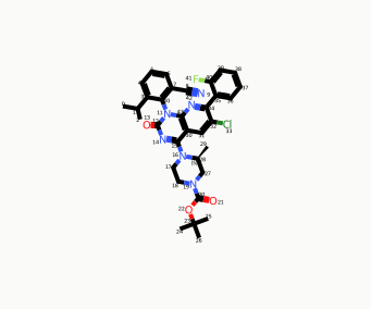 CC(C)c1cccc(C#N)c1-n1c(=O)nc(N2CCN(C(=O)OC(C)(C)C)C[C@@H]2C)c2cc(Cl)c(-c3ccccc3F)nc21